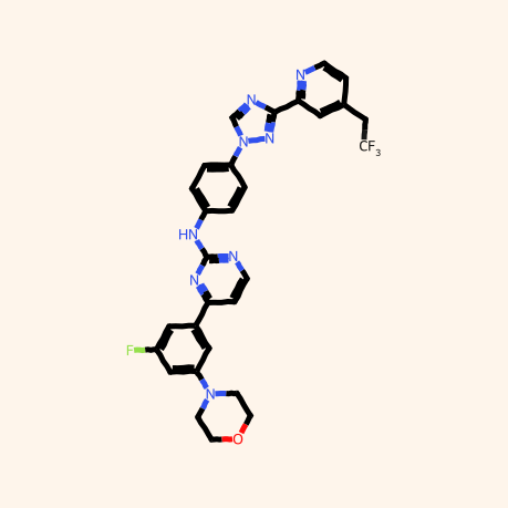 Fc1cc(-c2ccnc(Nc3ccc(-n4cnc(-c5cc(CC(F)(F)F)ccn5)n4)cc3)n2)cc(N2CCOCC2)c1